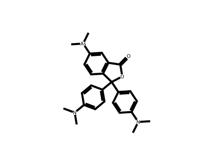 CN(C)c1ccc(C2(c3ccc(N(C)C)cc3)OC(=O)c3cc([As](C)C)ccc32)cc1